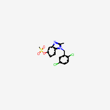 Cc1nc2cc(OS(C)(=O)=O)ccc2n1Cc1cc(Cl)ccc1Cl